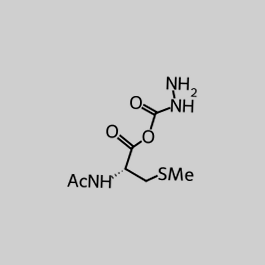 CSC[C@H](NC(C)=O)C(=O)OC(=O)NN